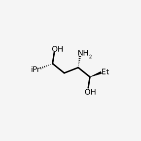 CC[C@@H](O)[C@@H](N)C[C@@H](O)C(C)C